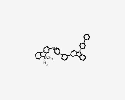 CC1(C)C2=C(CCC=C2)c2ccc(Nc3ccc(-c4cccc(C5C=Cc6c(c7ccccc7n6-c6ccc(-c7ccccc7)cc6)C5)c4)cc3)cc21